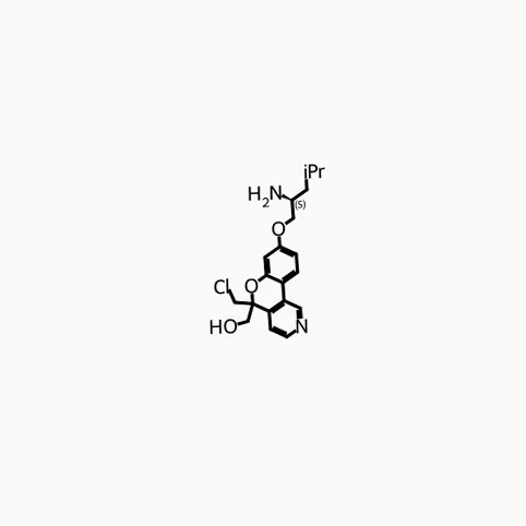 CC(C)C[C@H](N)COc1ccc2c(c1)OC(CO)(CCl)c1ccncc1-2